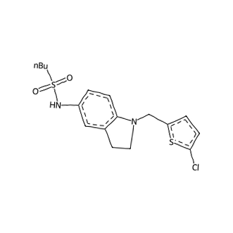 CCCCS(=O)(=O)Nc1ccc2c(c1)CCN2Cc1ccc(Cl)s1